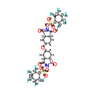 O=C1c2ccc(Oc3ccc4c(c3)C(=O)N(OS(=O)(=O)c3c(F)c(F)c(F)c(F)c3F)C4=O)cc2C(=O)N1OS(=O)(=O)c1c(F)c(F)c(F)c(F)c1F